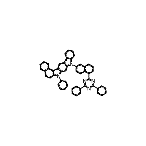 c1ccc(-c2nc(-c3ccccc3)nc(-c3cccc4cc(-n5c6ccccc6c6cc7c8c9ccccc9ccc8n(-c8ccccc8)c7cc65)ccc34)n2)cc1